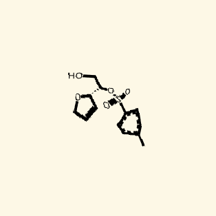 Cc1ccc(S(=O)(=O)OC(CO)[C@@H]2C=CCO2)cc1